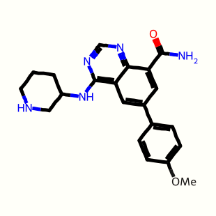 COc1ccc(-c2cc(C(N)=O)c3ncnc(NC4CCCNC4)c3c2)cc1